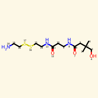 CC(C)(CO)CC(=O)NCCC(=O)NCCSSCCN